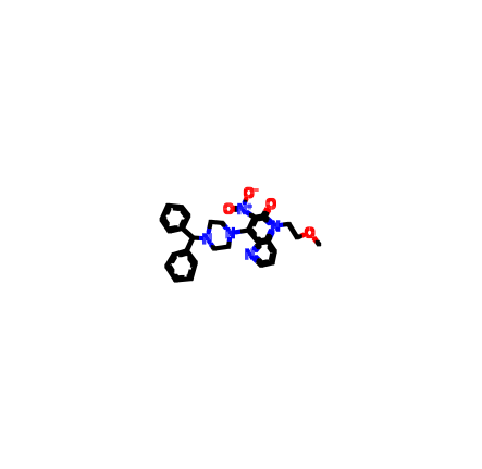 COCCn1c(=O)c([N+](=O)[O-])c(N2CCN(C(c3ccccc3)c3ccccc3)CC2)c2ncccc21